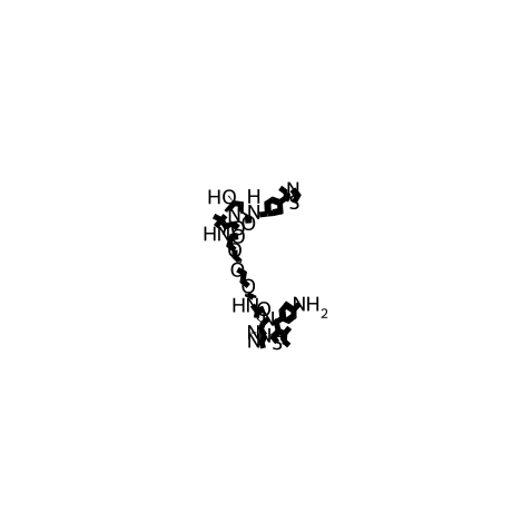 Cc1ncsc1-c1ccc(CNC(=O)[C@@H]2C[C@@H](O)CN2C(=O)[C@@H](NC(=O)COCCOCCOCCNC(=O)C[C@@H]2N=C(c3ccc(N)cc3)c3c(sc(C)c3C)-n3c(C)nnc32)C(C)(C)C)cc1